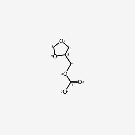 [O]C(=O)OCC1COCO1